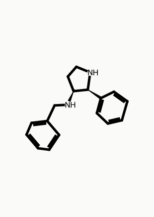 c1ccc(CN[C@H]2CCN[C@H]2c2ccccc2)cc1